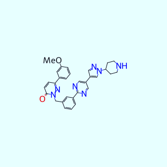 COc1cccc(-c2ccc(=O)n(Cc3cccc(-c4ncc(-c5cnn(C6CCNCC6)c5)cn4)c3)n2)c1